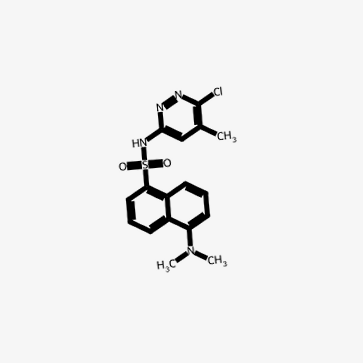 Cc1cc(NS(=O)(=O)c2cccc3c(N(C)C)cccc23)nnc1Cl